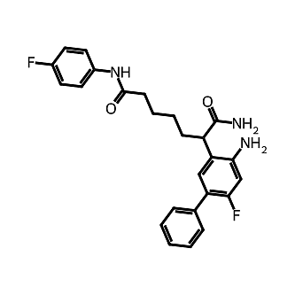 NC(=O)C(CCCCC(=O)Nc1ccc(F)cc1)c1cc(-c2ccccc2)c(F)cc1N